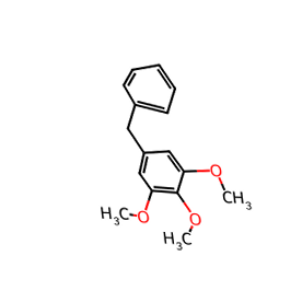 COc1cc(Cc2ccccc2)cc(OC)c1OC